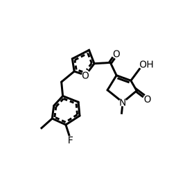 Cc1cc(Cc2ccc(C(=O)C3=C(O)C(=O)N(C)C3)o2)ccc1F